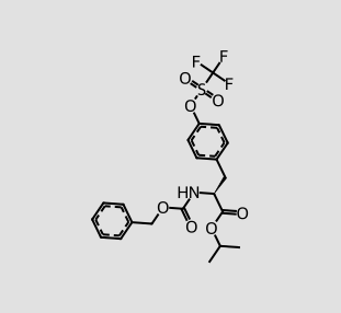 CC(C)OC(=O)[C@H](Cc1ccc(OS(=O)(=O)C(F)(F)F)cc1)NC(=O)OCc1ccccc1